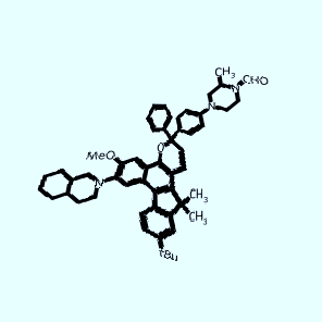 COc1cc2c3c(c4c(c2cc1N1CCC2CCCCC2C1)-c1ccc(C(C)(C)C)cc1C4(C)C)C=CC(c1ccccc1)(c1ccc(N2CCN(C=O)C(C)C2)cc1)O3